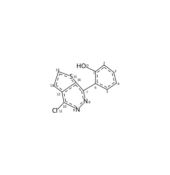 Oc1ccccc1-c1nnc(Cl)c2ccsc12